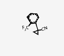 N#CC1(c2ccccc2C(F)(F)F)CC1